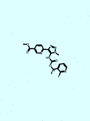 COC(=O)c1ccc(-c2nnn(C)c2NC(=O)O[C@H](C)c2cccnc2F)nc1